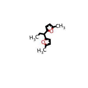 CCC(c1ccc(C)o1)c1ccc(C)o1